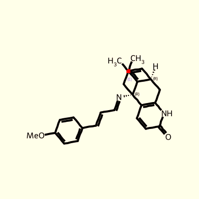 C/C=C1\[C@H]2C=C(C)C[C@]1(N=CC=Cc1ccc(OC)cc1)c1ccc(=O)[nH]c1C2